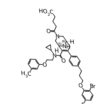 Cc1cccc(OCCN(C(=O)C2=C(c3ccc(CCCOc4cc(F)ccc4Br)cc3)C[C@@H]3CN(C(=O)CCCC(=O)O)C[C@H]2N3)C2CC2)c1